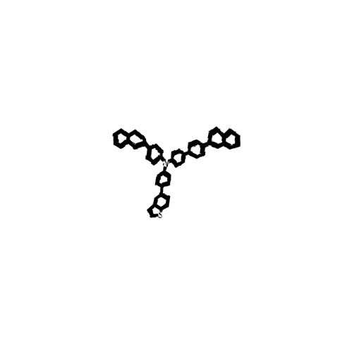 c1ccc2cc(-c3ccc(-c4ccc(N(c5ccc(-c6ccc7ccccc7c6)cc5)c5ccc(-c6ccc7sccc7c6)cc5)cc4)cc3)ccc2c1